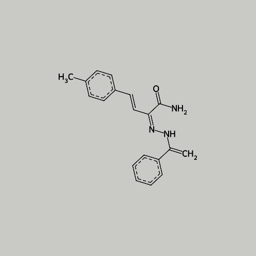 C=C(N/N=C(/C=C/c1ccc(C)cc1)C(N)=O)c1ccccc1